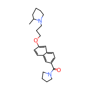 CC1CCCCN1CCCOc1ccc2cc(C(=O)N3CCCC3)ccc2c1